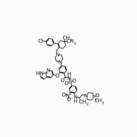 CC(CN1CCP(C)(=O)CC1)Nc1ccc(S(=O)(=O)NC(=O)c2ccc(N3CCN(CC4=C(c5ccc(Cl)cc5)CC(C)(C)CC4)CC3)cc2Oc2cnc3[nH]ccc3c2)cc1[N+](=O)[O-]